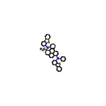 CC1(N(C2=CCCC=C2)c2cccc3c2SC2C=CC=CC32)CC=c2ccc3c(N(c4ccccc4)c4cccc5c4sc4ccccc45)ccc4ccc1c2c43